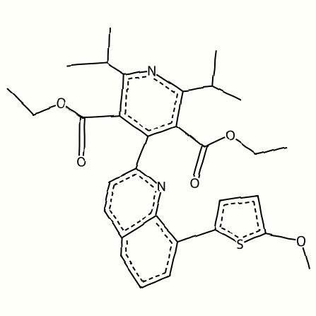 CCOC(=O)c1c(C(C)C)nc(C(C)C)c(C(=O)OCC)c1-c1ccc2cccc(-c3ccc(OC)s3)c2n1